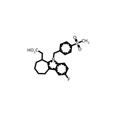 CS(=O)(=O)c1ccc(Cn2c3c(c4cc(F)ccc42)CCCCC3CC(=O)O)cc1